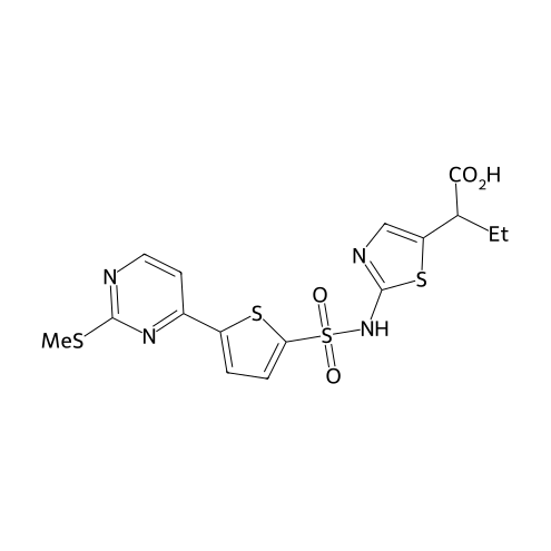 CCC(C(=O)O)c1cnc(NS(=O)(=O)c2ccc(-c3ccnc(SC)n3)s2)s1